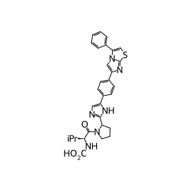 CC(C)[C@H](NC(=O)O)C(=O)N1CCCC1c1ncc(-c2ccc(-c3cn4c(-c5ccccc5)csc4n3)cc2)[nH]1